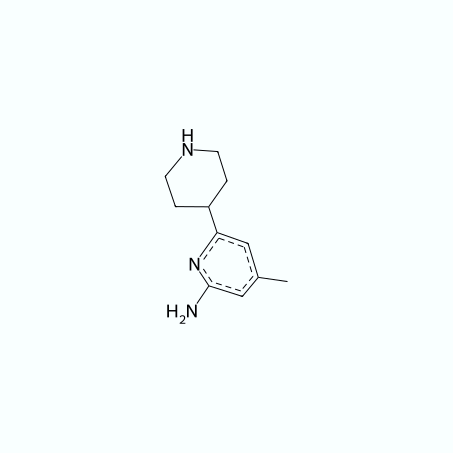 Cc1cc(N)nc(C2CCNCC2)c1